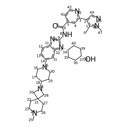 Cc1c(-c2cc(C(=O)Nc3nc4ccc(N5CCC(N6CC7(CCN(C)CC7)C6)CC5)cc4n3[C@H]3CC[C@@H](O)CC3)ccn2)cnn1C